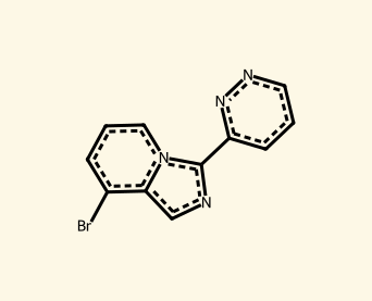 Brc1cccn2c(-c3cccnn3)ncc12